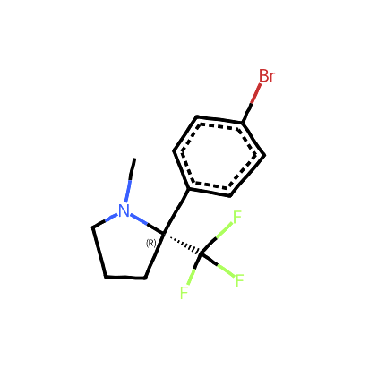 CN1CCC[C@@]1(c1ccc(Br)cc1)C(F)(F)F